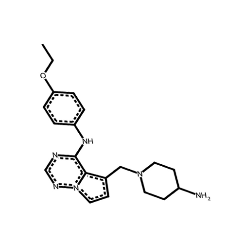 CCOc1ccc(Nc2ncnn3ccc(CN4CCC(N)CC4)c23)cc1